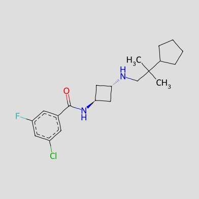 CC(C)(CN[C@H]1C[C@H](NC(=O)c2cc(F)cc(Cl)c2)C1)C1CCCC1